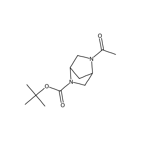 CC(=O)N1CC2CC1CN2C(=O)OC(C)(C)C